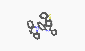 CC1(C)c2ccccc2N(c2ccc3c(c2)nc(-c2ccccc2)c2ccc4sc5ccccc5c4c23)c2ccccc21